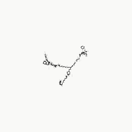 CC(=O)CNC(=O)[C@H](Cc1ccccc1)NC(=O)CNC(=O)CNC(=O)CCOCCOCCC(CCOCCOCCC(=O)NCC(=O)NCC(=O)N[C@@H](Cc1ccccc1)C(=O)NCC(=O)NCOCC(C)=O)CCC1CCC(NC(=O)CCCCCN2C(=O)C=CC2=O)CC1